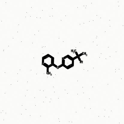 CCC(C)(C)c1ccc(Oc2cccnc2C)nc1